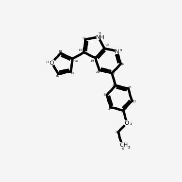 CCOc1ccc(-c2cnc3[nH]cc(-c4ccoc4)c3c2)cc1